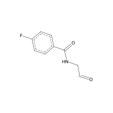 O=[C]CNC(=O)c1ccc(F)cc1